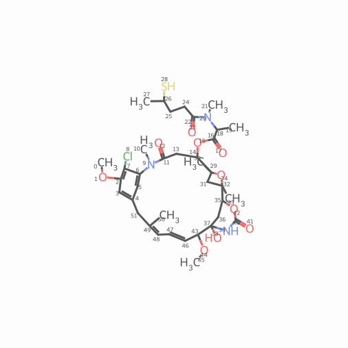 COc1cc2cc(c1Cl)N(C)C(=O)CC(OC(=O)C(C)N(C)C(=O)CCC(C)S)C1(C)CC(C)(O1)C1CC(O)(NC(=O)O1)C(OC)/C=C/C=C(\C)C2